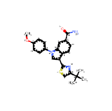 COc1ccc(-n2cc(-c3nc(C(C)(C)C)cs3)c3ccc(C(N)=O)cc32)cc1